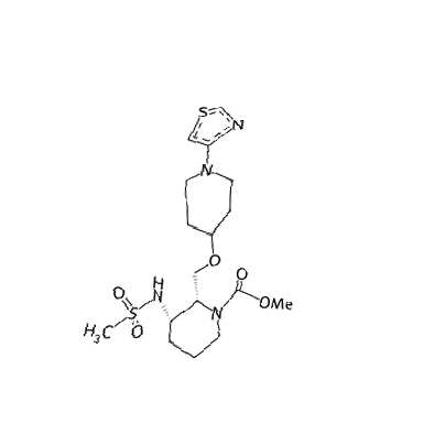 COC(=O)N1CCC[C@H](NS(C)(=O)=O)[C@@H]1COC1CCN(c2cscn2)CC1